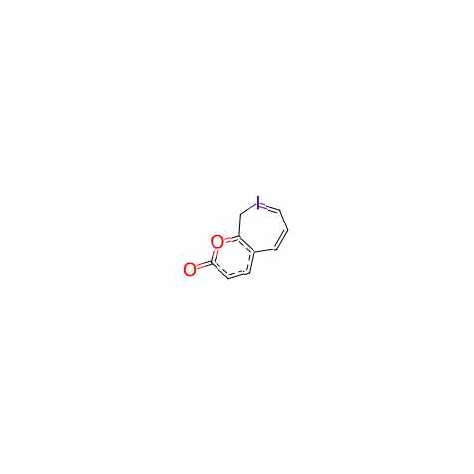 O=c1ccc2c(o1)CI=CC=C2